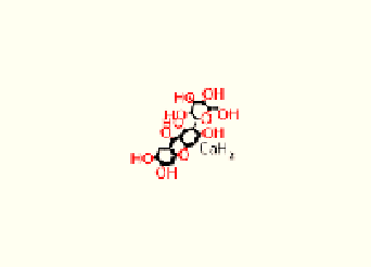 O=c1c2cc(O)c(O)cc2oc2cc(O)c([C@@H]3O[C@H](CO)[C@@H](O)[C@H](O)[C@H]3O)c(O)c12.[CaH2]